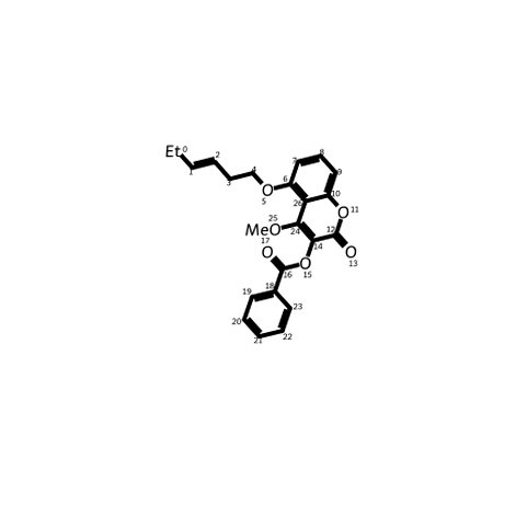 CCC=CCCOc1cccc2oc(=O)c(OC(=O)c3ccccc3)c(OC)c12